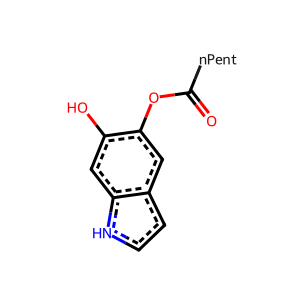 CCCCCC(=O)Oc1cc2cc[nH]c2cc1O